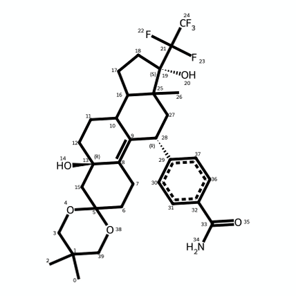 CC1(C)COC2(CCC3=C4C(CC[C@@]3(O)C2)C2CC[C@@](O)(C(F)(F)C(F)(F)F)C2(C)C[C@@H]4c2ccc(C(N)=O)cc2)OC1